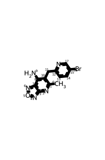 Cc1nc2nonc2c(N)c1Cc1ccc(Br)cn1